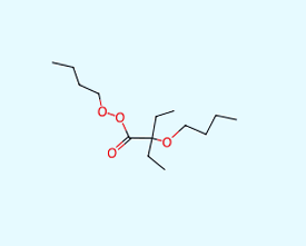 CCCCOOC(=O)C(CC)(CC)OCCCC